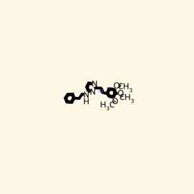 COc1cc(/C=C/c2nccc(NCCc3ccccc3)n2)cc(OC)c1OC